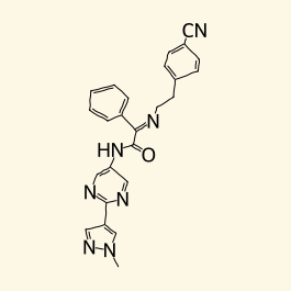 Cn1cc(-c2ncc(NC(=O)/C(=N/CCc3ccc(C#N)cc3)c3ccccc3)cn2)cn1